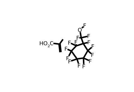 C=C(C)C(=O)O.FOC(F)(F)C1(F)C(F)(F)C(F)(F)C(F)(F)C(F)(F)C1(F)F